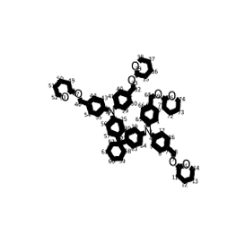 c1cc(N(c2ccc(COC3CCCCO3)cc2)c2ccc(C3(c4ccc(N(c5ccc(COC6CCCCO6)cc5)c5ccc(COC6CCCCO6)cc5)cc4)CCCCC3)cc2)ccc1COC1CCCCO1